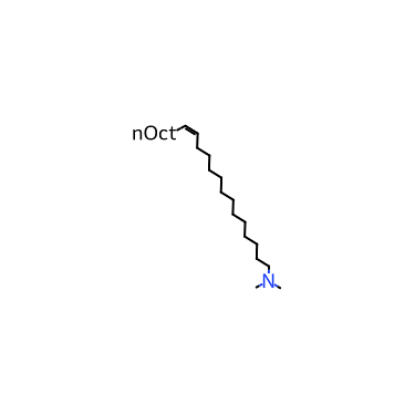 CCCCCCCC/C=C\CCCCCCCCCCCCN(C)C